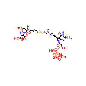 Nc1nc2c(c(C#CCNC(=O)CCSSCCCCC(=O)NC(CC(=O)O)C(=O)NC(CC(=O)O)C(=O)O)cn2C2CC(O)C(COP(=O)(O)OP(=O)(O)OP(=O)(O)O)O2)c(=O)[nH]1